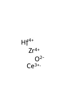 [Ce+3].[Hf+4].[O-2].[Zr+4]